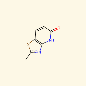 Cc1nc2[nH]c(=O)ccc2s1